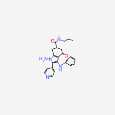 CCCN(C)C(=O)C1CC(=O)c2c(Nc3ccccc3)c(-c3ccncc3)n(N)c2C1